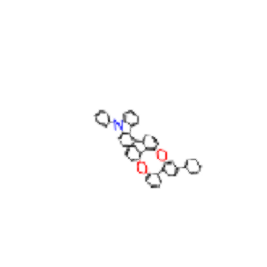 C1=CC(c2ccc3c(c2)Oc2cccc(-c4cccc5c4c4ccccc4n5-c4ccccc4)c2-c2ccccc2Oc2ccccc2-3)CCC1